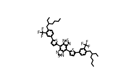 CCCCC(CC)Cc1ccc(-c2ccc(-c3c4c(c(-c5ccc(-c6ccc(CC(CC)CCCC)c(C(F)(F)F)c6)s5)c5nsnc35)N=S=N4)s2)cc1C(F)(F)F